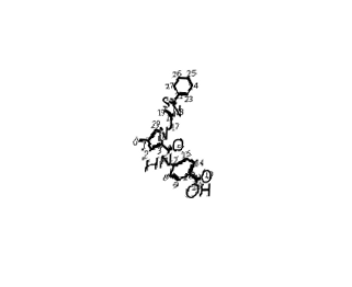 Cc1cc(C(=O)Nc2ccc(C(=O)O)cc2)n(Cc2csc(C3=CCCCC3)n2)c1